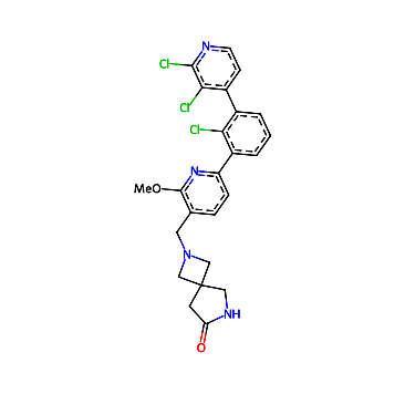 COc1nc(-c2cccc(-c3ccnc(Cl)c3Cl)c2Cl)ccc1CN1CC2(CNC(=O)C2)C1